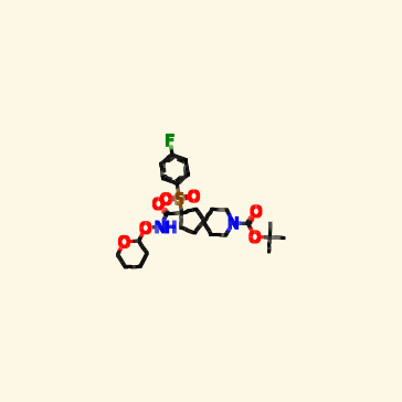 CC(C)(C)OC(=O)N1CCC2(CC1)CCC(C(=O)NOC1CCCCO1)(S(=O)(=O)c1ccc(F)cc1)C2